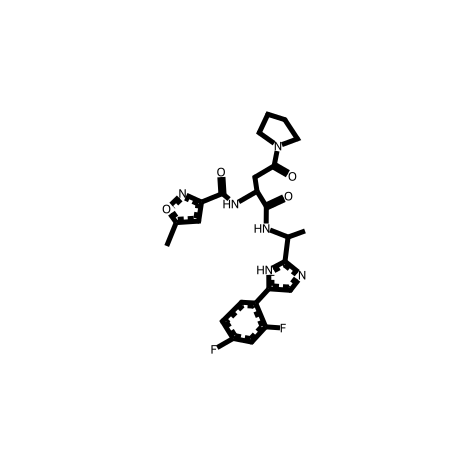 Cc1cc(C(=O)NC(CC(=O)N2CCCC2)C(=O)NC(C)c2ncc(-c3ccc(F)cc3F)[nH]2)no1